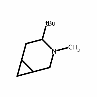 CN1CC2CC2CC1C(C)(C)C